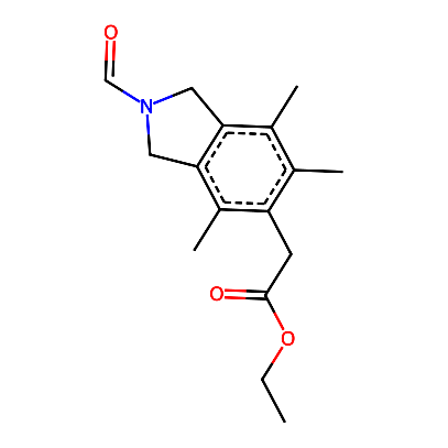 CCOC(=O)Cc1c(C)c(C)c2c(c1C)CN(C=O)C2